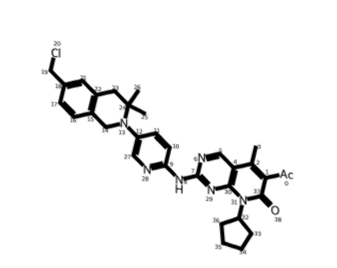 CC(=O)c1c(C)c2cnc(Nc3ccc(N4Cc5ccc(CCl)cc5CC4(C)C)cn3)nc2n(C2CCCC2)c1=O